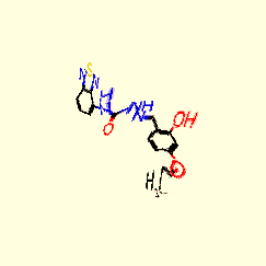 COc1ccc(/C=N/NC(=O)Nc2cccc3nsnc23)c(O)c1